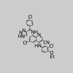 CCOc1ccc(Nc2c(C#N)cnc3c(N[C@@H](c4ccc(Cl)cc4)c4c[nH]nn4)cc(Cl)cc23)cc1Cl